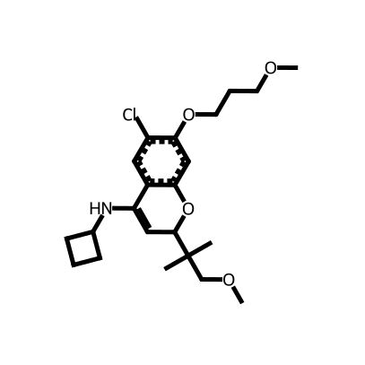 COCCCOc1cc2c(cc1Cl)C(NC1CCC1)=CC(C(C)(C)COC)O2